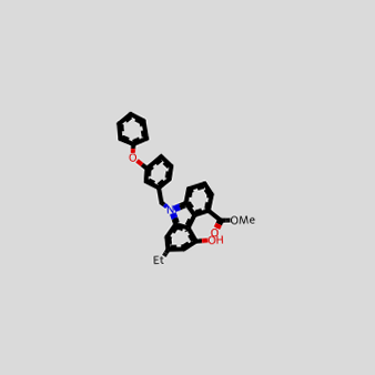 CCc1cc(O)c2c3c(C(=O)OC)cccc3n(Cc3cccc(Oc4ccccc4)c3)c2c1